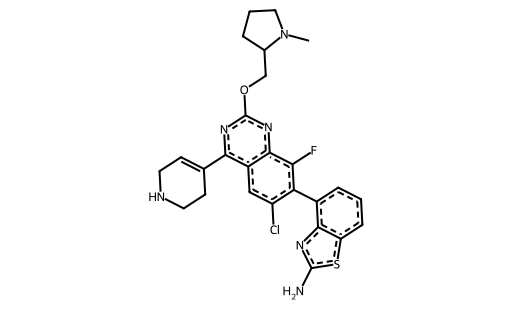 CN1CCCC1COc1nc(C2=CCNCC2)c2cc(Cl)c(-c3cccc4sc(N)nc34)c(F)c2n1